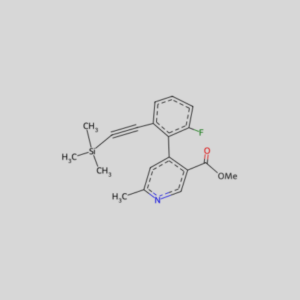 COC(=O)c1cnc(C)cc1-c1c(F)cccc1C#C[Si](C)(C)C